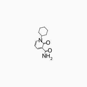 NC(=O)c1cccn(C2CCCCC2)c1=O